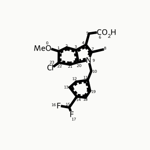 COc1cc2c(CC(=O)O)c(C)n(Cc3ccc(C(F)F)cc3)c2cc1Cl